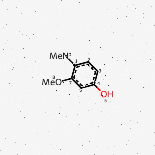 CNc1ccc(O)cc1OC